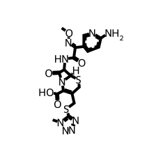 CON=C(C(=O)NC1C(=O)N2C(C(=O)O)=C(CSc3nnnn3C)CS[C@@H]12)c1ccc(N)nc1